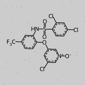 O=S(=O)(Nc1cc(C(F)(F)F)ccc1Oc1cc(Cl)c[n+]([O-])c1)c1ccc(Cl)cc1Cl